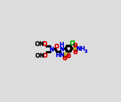 NS(=O)(=O)c1cc2c(cc1Cl)NC(CC(=O)N(CCON=O)CCON=O)NS2(=O)=O